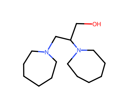 OCC(CN1CCCCCC1)N1CCCCCC1